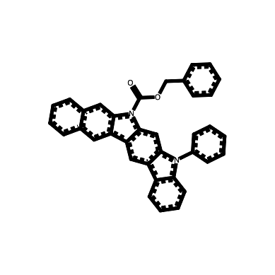 O=C(OCc1ccccc1)n1c2cc3ccccc3cc2c2cc3c4ccccc4n(-c4ccccc4)c3cc21